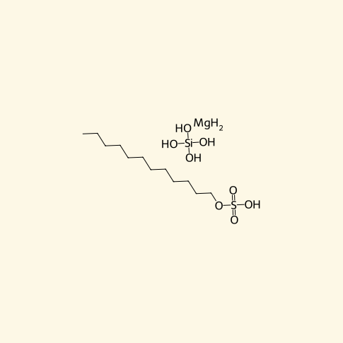 CCCCCCCCCCCCOS(=O)(=O)O.O[Si](O)(O)O.[MgH2]